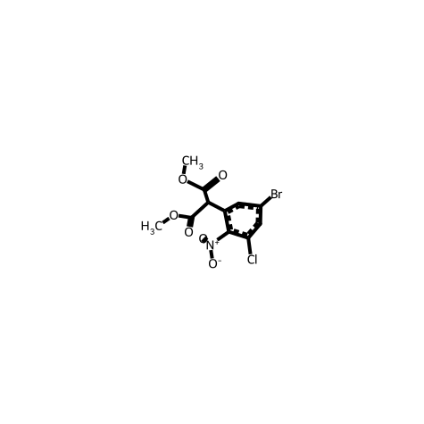 COC(=O)C(C(=O)OC)c1cc(Br)cc(Cl)c1[N+](=O)[O-]